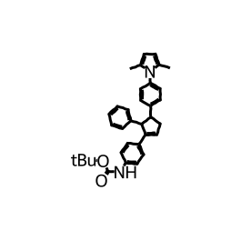 Cc1ccc(C)n1-c1ccc(C2CC=C(c3ccc(NC(=O)OC(C)(C)C)cc3)C2c2ccccc2)cc1